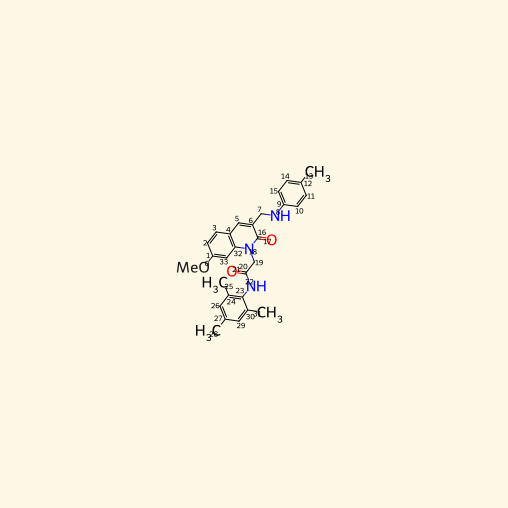 COc1ccc2cc(CNc3ccc(C)cc3)c(=O)n(CC(=O)Nc3c(C)cc(C)cc3C)c2c1